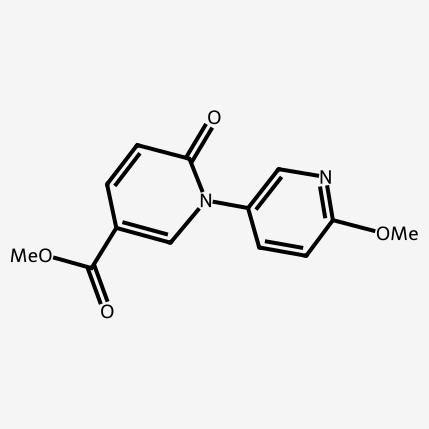 COC(=O)c1ccc(=O)n(-c2ccc(OC)nc2)c1